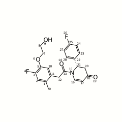 Cc1cc(F)c(OCCO)cc1CC(=O)N1C=CC(=O)C[C@H]1c1ccc(F)cc1